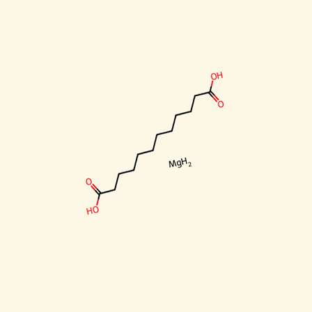 O=C(O)CCCCCCCCCCC(=O)O.[MgH2]